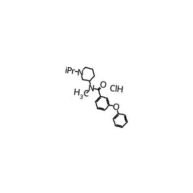 CC(C)N1CCCC(N(C)C(=O)c2cccc(Oc3ccccc3)c2)C1.Cl